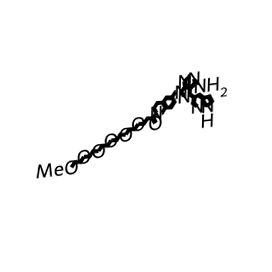 COCCOCCOCCOCCOCCOCCC(=O)N1CCc2cc(Cn3nc(-c4cnc5[nH]ccc5c4)c4c(N)ncnc43)ccc2C1